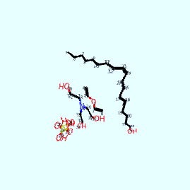 C=COC=C.CCCCCCCC/C=C\CCCCCCCCO.O.O=S(=O)(O)O.OCCN(CCO)CCO